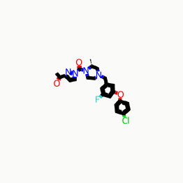 CC(=O)c1ccn(C(=O)N2CCN(Cc3cc(F)cc(Oc4ccc(Cl)cc4)c3)C[C@H]2C)n1